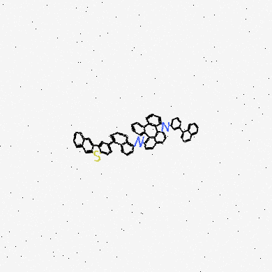 c1cc(-c2cccc3ccccc23)cc(-n2c3cccc4c3c3c5c(ccc32)ccc2c5c3c-4cccc3n2-c2cccc3c(-c4ccc5sc6cc7ccccc7cc6c5c4)cccc23)c1